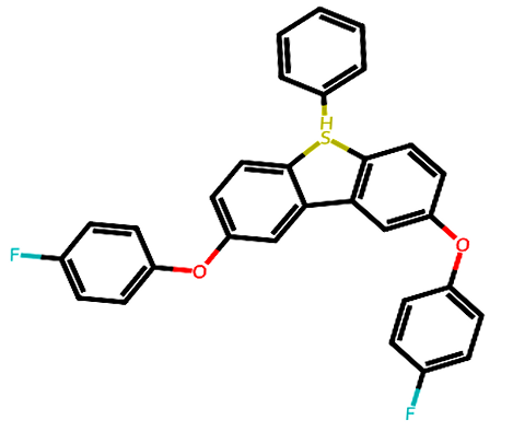 Fc1ccc(Oc2ccc3c(c2)-c2cc(Oc4ccc(F)cc4)ccc2[SH]3c2ccccc2)cc1